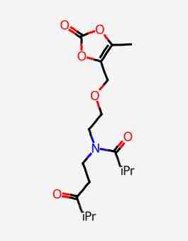 Cc1oc(=O)oc1COCCN(CCC(=O)C(C)C)C(=O)C(C)C